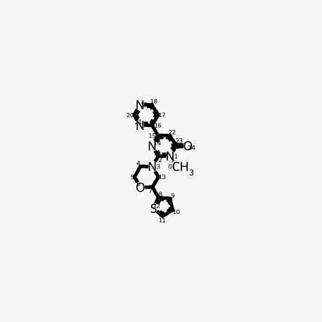 Cn1c(N2CCOC(c3cccs3)C2)nc(-c2ccncn2)cc1=O